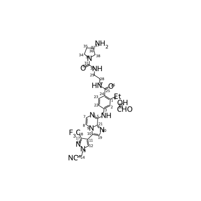 CCc1cc(Nc2nccn3c(-c4cn(CC#N)nc4C(F)(F)F)cnc23)ccc1C(=O)NCCNC(=O)N1CC[C@H](N)C1.O=CO